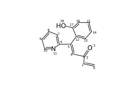 C=CC(=O)C=C(c1ccccn1)c1ccccc1O